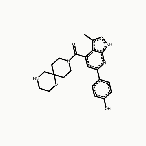 Cc1n[nH]c2nc(-c3ccc(O)cc3)cc(C(=O)N3CCC4(CC3)CNCCO4)c12